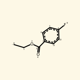 [CH2]COC(=O)c1ccc(F)cc1